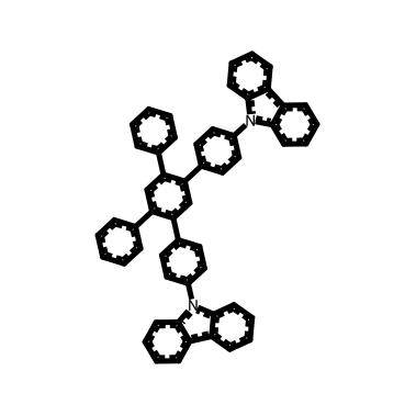 c1ccc(-c2cc(-c3ccccc3)c(-c3ccc(-n4c5ccccc5c5ccccc54)cc3)cc2-c2ccc(-n3c4ccccc4c4ccccc43)cc2)cc1